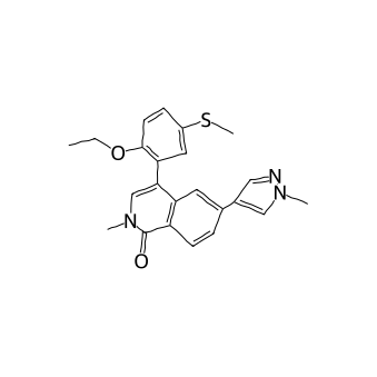 CCOc1ccc(SC)cc1-c1cn(C)c(=O)c2ccc(-c3cnn(C)c3)cc12